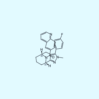 Cn1nc2c(c1-c1ccc(F)cc1)C[C@H]1CCC[C@@H]2N1C(=O)c1ccc2ncccc2c1